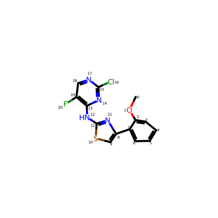 COc1ccccc1-c1csc(Nc2nc(Cl)ncc2F)n1